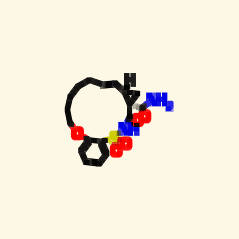 NC(=O)[C@@]12C[C@H]1/C=C/CCCCCOc1ccccc1S(=O)(=O)NC2=O